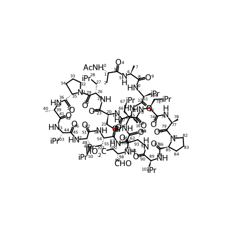 CC(=O)N[C@@H](C)C(=O)N[C@@H](C)C(=O)N[C@H](C(=O)N[C@@H](C)C(=O)N[C@@H](CC(C)C)C(=O)N[C@@H](CC(C)C)C(=O)N1CCC[C@H]1C(=O)N[C@@H](C)C(=O)N[C@H](C(=O)N[C@@H](CC(C)C)C(=O)N[C@@H](CC(C)C)C(=O)N[C@@H](C)C(=O)N[C@@H](CC(C)C)C(=O)N[C@@H](CC(C)C)C(=O)N[C@@H](C)C(=O)N1CCC[C@H]1C(=O)N[C@H](C(=O)N[C@@H](C)C(=O)N[C@H](C=O)CC(=O)O)C(C)C)C(C)C)C(C)C